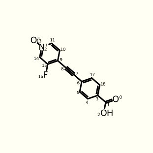 O=C(O)c1ccc(C#Cc2cc[n+]([O-])cc2F)cc1